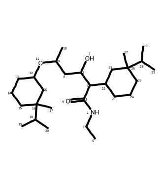 CCNC(=O)C(C(O)CC(C)OC1CCCC(C)(C(C)C)C1)C1CCCC(C)(C(C)C)C1